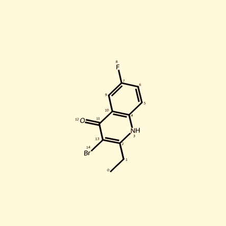 CCc1[nH]c2ccc(F)cc2c(=O)c1Br